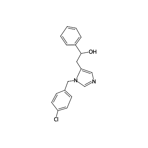 OC(Cc1cncn1Cc1ccc(Cl)cc1)c1ccccc1